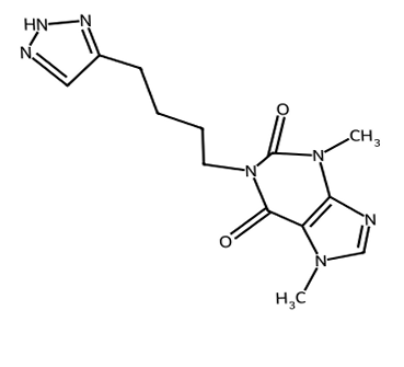 Cn1cnc2c1c(=O)n(CCCCc1cn[nH]n1)c(=O)n2C